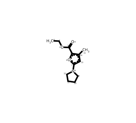 CCOC(=O)c1oc(N2CCCC2)cc1C